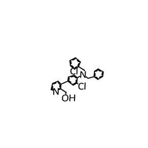 OCc1ncccc1-c1cc(Cl)c(N(Cc2ccccc2)Cc2ccccc2)c(Cl)c1